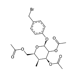 CC(=O)OC[C@H]1O[C@@H](Oc2ccc(CBr)cc2)C(OC(C)=O)[C@@H](OC(C)=O)[C@H]1C